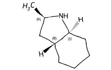 C[C@@H]1C[C@H]2CCCC[C@@H]2N1